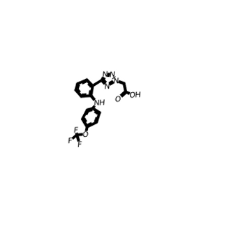 O=C(O)Cn1nnc(-c2ccccc2Nc2ccc(OC(F)(F)F)cc2)n1